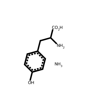 N.NC(Cc1ccc(O)cc1)C(=O)O